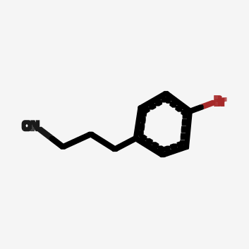 O=NCCCc1ccc(Br)cc1